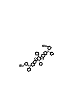 CC(C)(C)c1cccc(N(c2ccccc2)c2ccc3cc4c(cc3c2)oc2c(-c3ccccc3)c3c(oc5cc6cc(N(c7ccccc7)c7cccc(C(C)(C)C)c7)ccc6cc53)c(-c3ccccc3)c24)c1